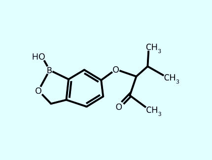 CC(=O)C(Oc1ccc2c(c1)B(O)OC2)C(C)C